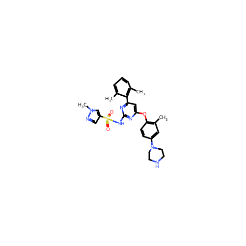 Cc1cc(N2CCNCC2)ccc1Oc1cc(-c2c(C)cccc2C)nc(NS(=O)(=O)c2cnn(C)c2)n1